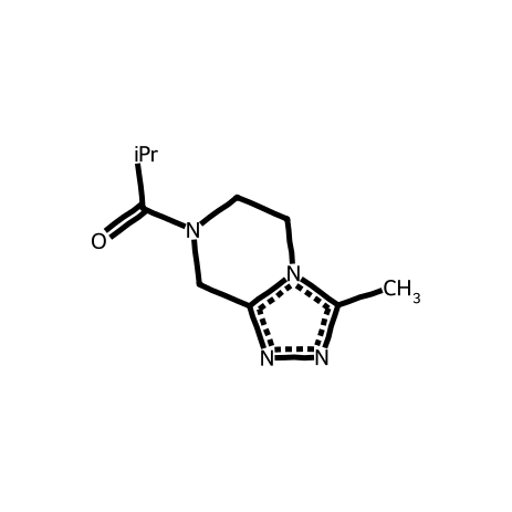 Cc1nnc2n1CCN(C(=O)C(C)C)C2